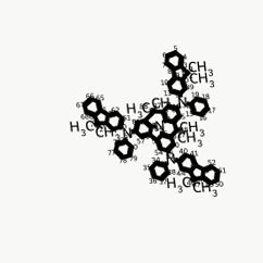 CC1(C)c2ccccc2-c2ccc(N(c3ccccc3)c3cc4c5c(c3)C(C)(C)c3cc(N(c6ccccc6)c6ccc7c(c6)C(C)(C)c6ccccc6-7)cc6c7cc(N(C8=CC=C9c%10ccccc%10C(C)(C)C9C8)c8ccccc8)cc(c7n-5c36)C4(C)C)cc21